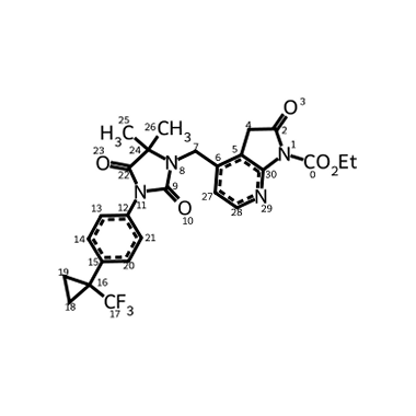 CCOC(=O)N1C(=O)Cc2c(CN3C(=O)N(c4ccc(C5(C(F)(F)F)CC5)cc4)C(=O)C3(C)C)ccnc21